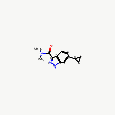 CON(C)C(=O)c1n[nH]c2cc(C3CC3)ccc12